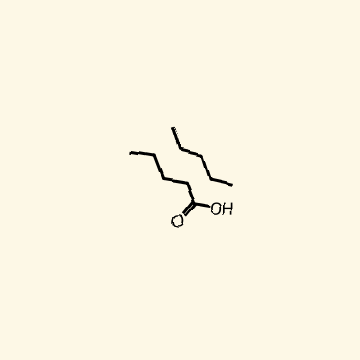 CCCCC.CCCCC(=O)O